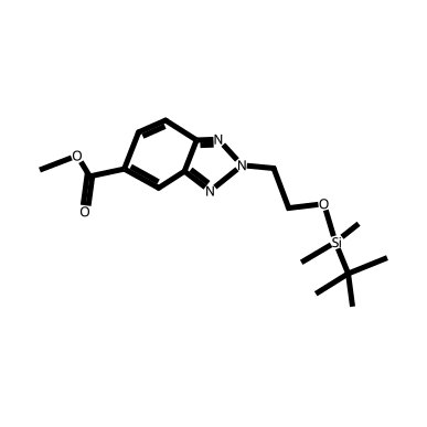 COC(=O)c1ccc2nn(CCO[Si](C)(C)C(C)(C)C)nc2c1